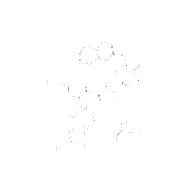 CC[C@H](C)C(NC(=O)[C@H](CC(C)C)NC(=O)O)C(=O)C(=O)NC(CCCNC(=N)N)C(=O)NC(Cc1ccc2ccccc2c1)C(N)=O